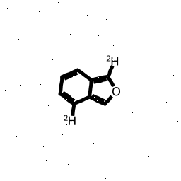 [2H]c1cccc2c([2H])occ12